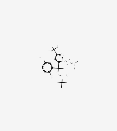 CN(C)S(=O)(=O)n1nc(C(F)(F)F)cc1C(C)(N[S+]([O-])C(C)(C)C)c1cc(Br)ccc1F